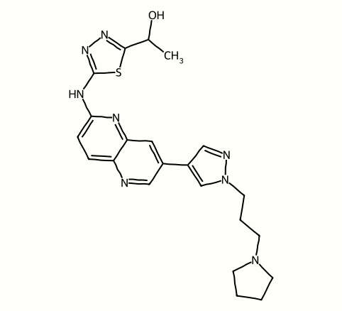 CC(O)c1nnc(Nc2ccc3ncc(-c4cnn(CCCN5CCCC5)c4)cc3n2)s1